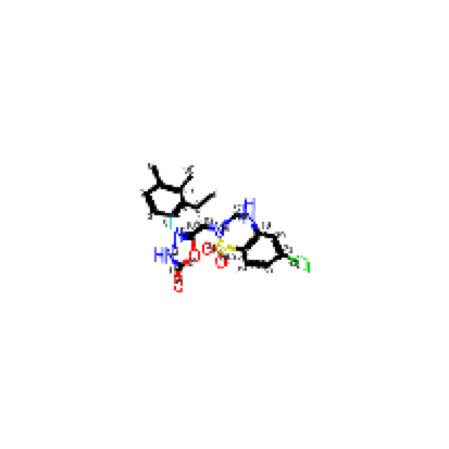 Cc1ccc(F)c(C(C)[C@@H](c2n[nH]c(=O)o2)N2CNc3cc(Cl)ccc3S2(=O)=O)c1C